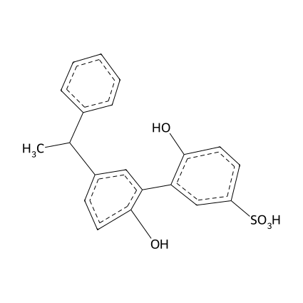 CC(c1ccccc1)c1ccc(O)c(-c2cc(S(=O)(=O)O)ccc2O)c1